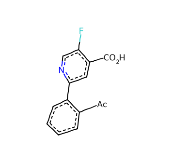 CC(=O)c1ccccc1-c1cc(C(=O)O)c(F)cn1